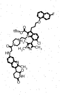 Cc1nc2cc(NCC(=O)N3CCN(CCn4c(C(=O)OC(C)(C)C)c(CCCOc5cccc6cc(F)ccc56)c5ccc(Cl)c(-c6c(C)nn(C)c6C)c54)CC3)ccc2cc1C1CCC(=O)NC1=O